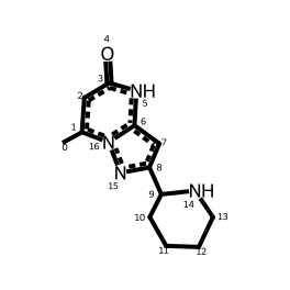 Cc1cc(=O)[nH]c2cc(C3CCCCN3)nn12